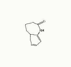 O=C1CCCC2CC=CC=C2N1